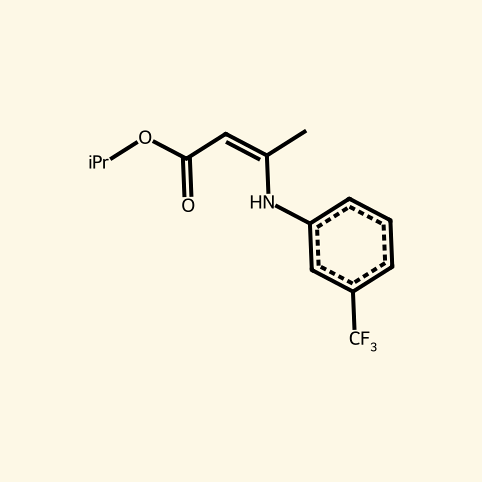 C/C(=C/C(=O)OC(C)C)Nc1cccc(C(F)(F)F)c1